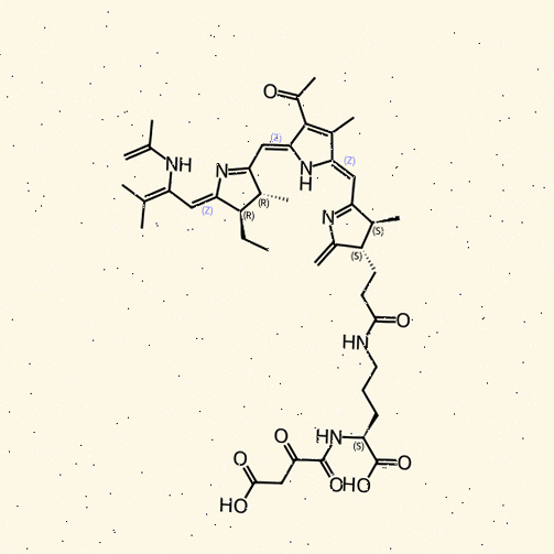 C=C(C)NC(/C=C1N=C(/C=c2\[nH]/c(=C\C3=NC(=C)[C@@H](CCC(=O)NCCC[C@H](NC(=O)C(=O)CC(=O)O)C(=O)O)[C@@H]3C)c(C)c2C(C)=O)[C@H](C)[C@H]\1CC)=C(C)C